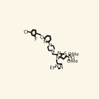 CCn1cncc1Cn1c(CN2CCN(c3cccc(OCc4ccc(Cl)cc4F)n3)CC2)nc2sc(P(=O)(OC)OC)cc21